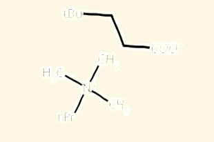 CC(C)(C)CCC(=O)[O-].CCC[N+](C)(C)C